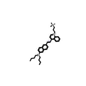 CCCCN(CCCC)c1ccc2cc(/C=C/c3cc[n+](CCC[N+](C)(C)C)c4ccccc34)ccc2c1